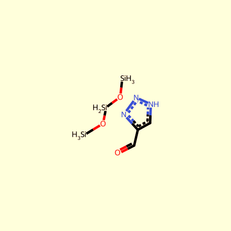 O=Cc1c[nH]nn1.[SiH3]O[SiH2]O[SiH3]